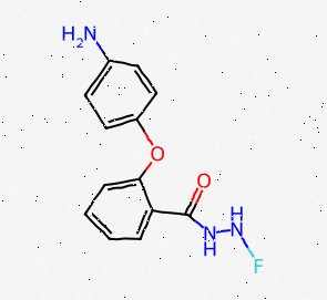 Nc1ccc(Oc2ccccc2C(=O)NNF)cc1